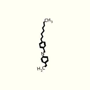 C=Cc1ccc(N=Cc2ccc(CCCCCCCC)cc2)cc1